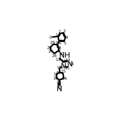 Cc1ccccc1C1=CC(NCc2cncn2CC2CCC(C#N)CC2)CCCC1